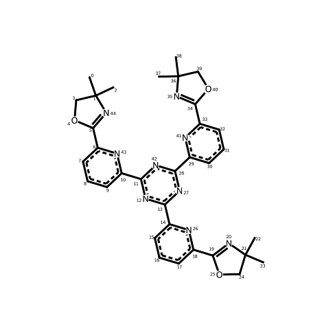 CC1(C)COC(c2cccc(-c3nc(-c4cccc(C5=NC(C)(C)CO5)n4)nc(-c4cccc(C5=NC(C)(C)CO5)n4)n3)n2)=N1